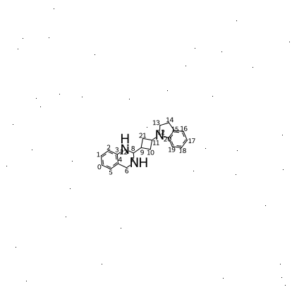 c1ccc2c(c1)CNC(C1CC(N3CCc4ccccc43)C1)N2